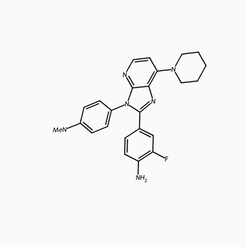 CNc1ccc(-n2c(-c3ccc(N)c(F)c3)nc3c(N4CCCCC4)ccnc32)cc1